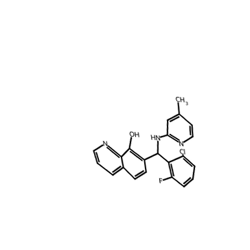 Cc1ccnc(NC(c2ccc3cccnc3c2O)c2c(F)cccc2Cl)c1